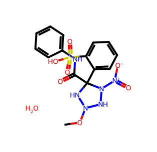 CON1NN([N+](=O)[O-])C(C(=O)Nc2ccccc2)(c2ccccc2S(=O)(=O)O)N1.O